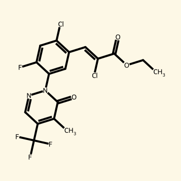 CCOC(=O)C(Cl)=Cc1cc(-n2ncc(C(F)(F)F)c(C)c2=O)c(F)cc1Cl